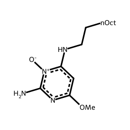 CCCCCCCCCCNc1cc(OC)nc(N)[n+]1[O-]